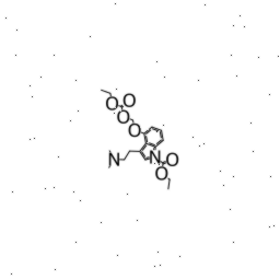 CCOC(=O)OCOc1cccc2c1c(CCN(C)C)cn2C(=O)OCC